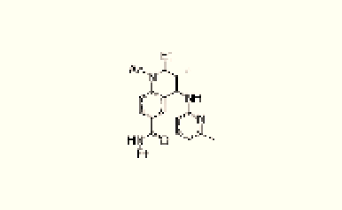 CCNC(=O)c1ccc2c(c1)[C@H](Nc1cccc(C)n1)[C@@H](C)C(CC)N2C(C)=O